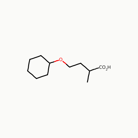 CC(CCOC1CCCCC1)C(=O)O